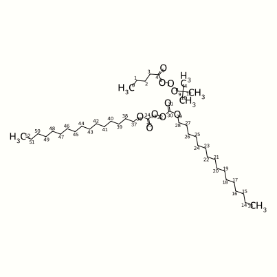 CCCCC(=O)OOOC(C)(C)C.CCCCCCCCCCCCCCCCOC(=O)OOC(=O)OCCCCCCCCCCCCCCCC